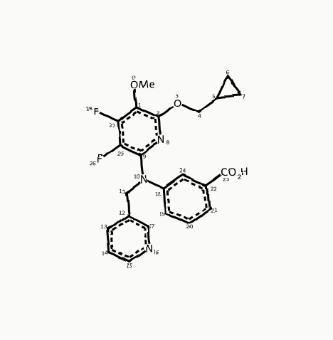 COc1c(OCC2CC2)nc(N(Cc2cccnc2)c2cccc(C(=O)O)c2)c(F)c1F